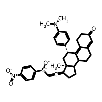 CN(C)c1ccc([C@H]2C[C@]3(C)C(=C=C[S+]([O-])c4ccc([N+](=O)[O-])cc4)CCC3C3CCC4=CC(=O)CCC4=C32)cc1